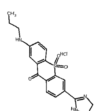 CCCNc1ccc2c(c1)C(=O)c1ccc(C3=NCCN3)cc1S2(=O)=O.Cl